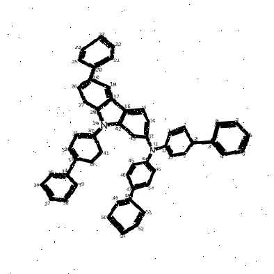 C1=CC(c2ccccc2)CC=C1N(C1=CC=C2C3=CC(c4ccccc4)=CCC3N(C3=CC=C(c4ccccc4)CC3)C2C1)c1ccc(-c2ccccc2)cc1